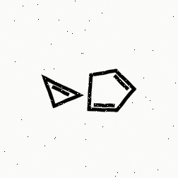 C1=CC1.C1=CCC=C1